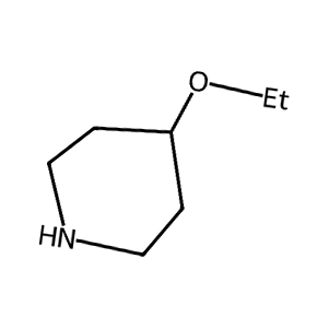 [CH2]COC1CCNCC1